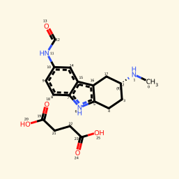 CN[C@@H]1CCc2[nH]c3ccc(NC=O)cc3c2C1.O=C(O)CCC(=O)O